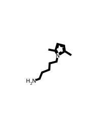 Cc1ccc(C)n1CCCCCN